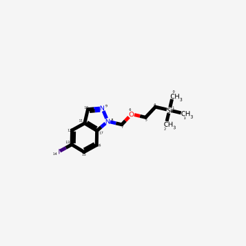 C[Si](C)(C)CCOCn1ncc2cc(I)ccc21